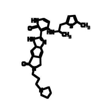 Cc1ccc(CC(C)Nc2cc[nH]c(=O)c2C2=NC3C=C4CN(CCCN5CCCC5)C(=O)C4=CC3N2)s1